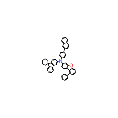 c1ccc(-c2cccc3oc4cc(N(c5ccc(-c6ccc7ccccc7c6)cc5)c5ccc(C6(c7ccccc7)CCCCC6)cc5)ccc4c23)cc1